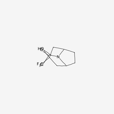 O=C(Cl)N1C2CCC1CC(O)(C(F)(F)F)C2